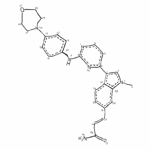 Cn1cc(-c2ccnc(Nc3ccc(N4CCOCC4)cc3)n2)c2ccc(C=CC(N)=O)cc21